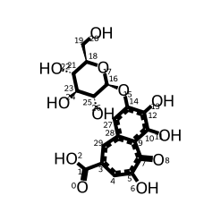 O=C(O)c1cc(O)c(=O)c2c(O)c(O)c(O[C@@H]3O[C@H](CO)[C@@H](O)[C@H](O)[C@H]3O)cc2c1